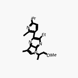 CCc1nc2c(nc1-c1ccc(C(C)C)nc1C)c(C)cn2C(C)COC